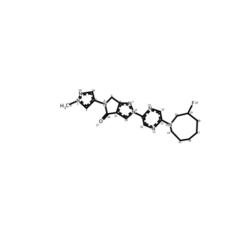 Cn1cc(N2Cc3nn(-c4cnc(N5CCCCCC(F)C5)cn4)cc3C2=O)cn1